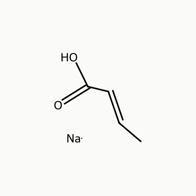 CC=CC(=O)O.[Na]